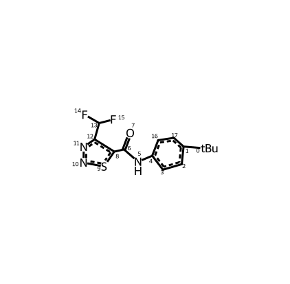 CC(C)(C)c1ccc(NC(=O)c2snnc2C(F)F)cc1